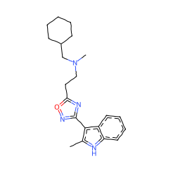 Cc1[nH]c2ccccc2c1-c1noc(CCN(C)CC2CCCCC2)n1